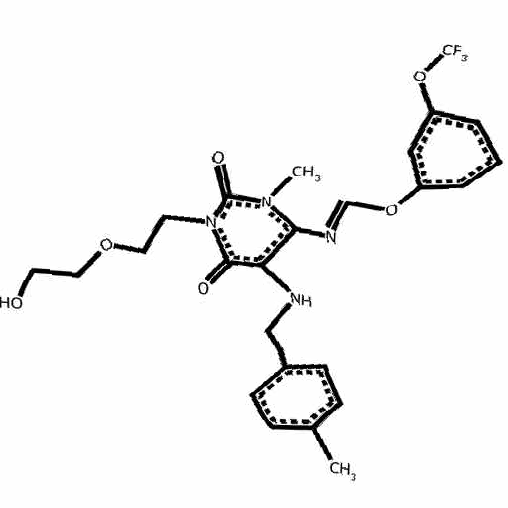 Cc1ccc(CNc2c(/N=C/Oc3cccc(OC(F)(F)F)c3)n(C)c(=O)n(CCOCCO)c2=O)cc1